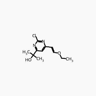 CCOC=Cc1cc(C(C)(C)O)nc(Cl)n1